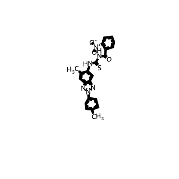 Cc1ccc(-n2nc3cc(C)c(NC(=S)NC(=O)c4ccccc4[N+](=O)[O-])cc3n2)cc1